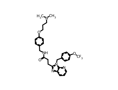 CN(C)CCCOc1ccc(CNC(=O)CCc2nc3cccnc3n2Cc2ccc(OC(F)(F)F)cc2)cc1